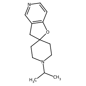 CC(C)N1CCC2(CC1)Cc1cnccc1O2